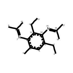 CCc1cc(C)c(N=C(C)C)c(CC)c1N=C(C)C